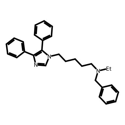 CCN(CCCCCn1cnc(-c2ccccc2)c1-c1ccccc1)Cc1ccccc1